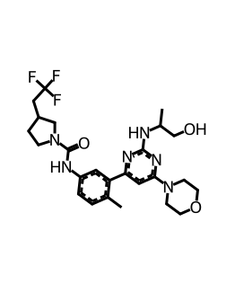 Cc1ccc(NC(=O)N2CCC(CC(F)(F)F)C2)cc1-c1cc(N2CCOCC2)nc(NC(C)CO)n1